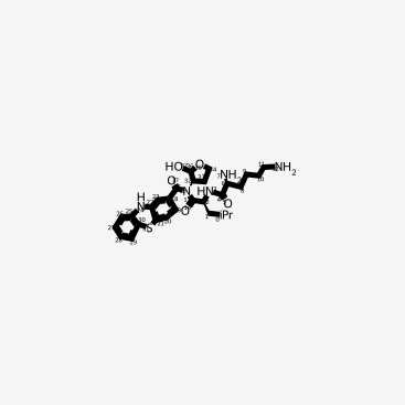 CC(C)C[C@H](NC(=O)[C@@H](N)CCCCN)C(=O)N(C(=O)c1ccc2c(c1)Nc1ccccc1S2)[C@H]1CCOC1O